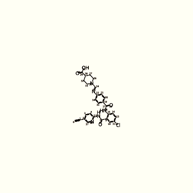 C#Cc1ccc(NC(=O)c2cc(Cl)ccc2NC(=O)c2ccc(N=CN3CCC(C(=O)O)CC3)cc2)nc1